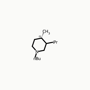 CCCCN1CC[C@H](C)C(C(C)C)C1